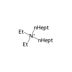 CCCCCCC[N+](CC)(CC)CCCCCCC